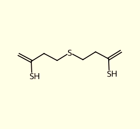 C=C(S)CCSCCC(=C)S